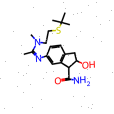 CC(=Nc1ccc2c(c1)C(C(N)=O)C(O)C2)N(C)CCSC(C)(C)C